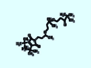 CC(CCN1C(=O)C(C(C)(C)C)=C(C(C)(C)C)C1=O)OCCC(C)(C)OCCC(=O)C(C)(C)C